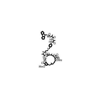 COc1cc2cc(c1Cl)N(C)C(=O)CC(OC(=O)C(C)N(C)C(=O)CCSCc1ccc(NC(=O)C(C)NC(=O)C(C)NC(=O)OCC3c4ccccc4-c4ccccc43)cc1)C1(C)OC1C(C)C1CC(O)(NC(=O)O1)C(OC)/C=C/C=C(\C)C2